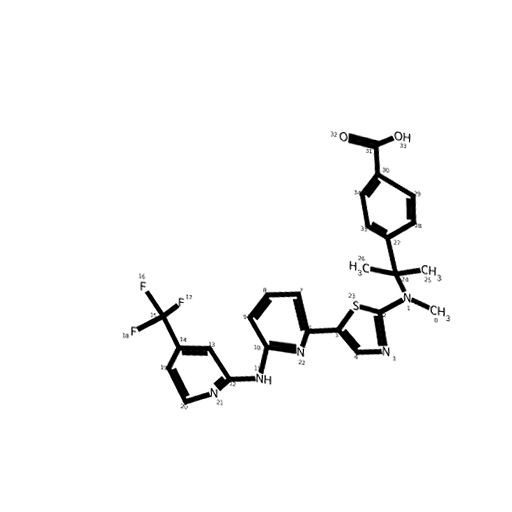 CN(c1ncc(-c2cccc(Nc3cc(C(F)(F)F)ccn3)n2)s1)C(C)(C)c1ccc(C(=O)O)cc1